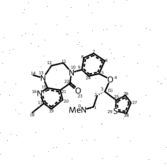 CNCC[C@H](Oc1cccc(N2CCN(C)c3nc(C)ccc3C2=O)c1)c1cccs1